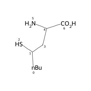 CCCCC(S)CC(N)C(=O)O